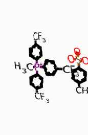 C[P+](c1ccc(C(F)(F)F)cc1)(c1ccc(C(F)(F)F)cc1)c1ccc(C(F)(F)F)cc1.Cc1ccc(S(=O)(=O)[O-])cc1